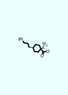 CC(C)CCC[C@H]1CC[C@](C)(C(=O)Cl)CC1